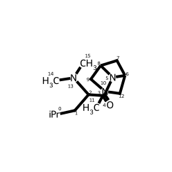 CC(C)CC(C(=O)N1C2CC1CN(C)C2)N(C)C